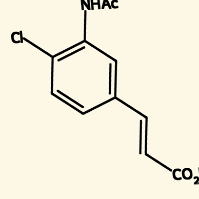 CC(=O)Nc1cc(/C=C/C(=O)O)ccc1Cl